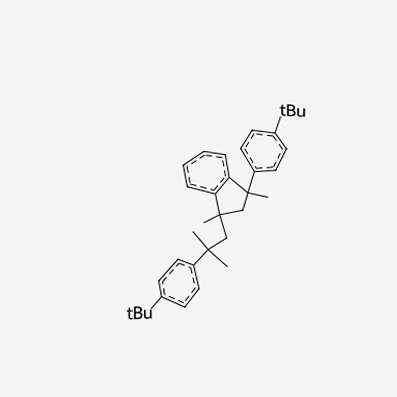 CC(C)(C)c1ccc(C(C)(C)CC2(C)CC(C)(c3ccc(C(C)(C)C)cc3)c3ccccc32)cc1